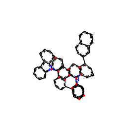 c1ccc(-c2ccccc2-c2c(-c3ccccc3)cccc2-c2ccccc2N(c2ccc(-n3c4ccccc4c4ccccc43)cc2)c2cccc(-c3ccc4ccccc4c3)c2)cc1